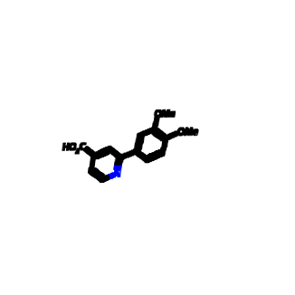 COc1ccc(-c2cc(C(=O)O)ccn2)cc1OC